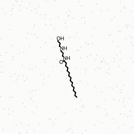 CCCCCCCCCCCCCCCC(=O)NCCCNCCCO